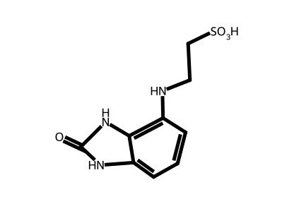 O=c1[nH]c2cccc(NCCS(=O)(=O)O)c2[nH]1